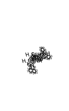 COP(=O)(OC)C(CCN1Cc2cccc3cccc(c23)C1=O)N[C@@H](CC(C)C)C(=O)N[C@@H](Cc1c[nH]c2ccccc12)C(=O)OCc1ccccc1